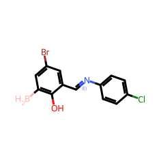 Bc1cc(Br)cc(/C=N/c2ccc(Cl)cc2)c1O